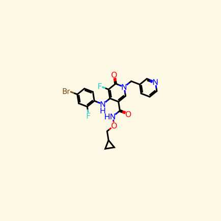 O=C(NOCC1CC1)c1cn(Cc2cccnc2)c(=O)c(F)c1Nc1ccc(Br)cc1F